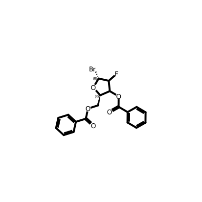 O=C(OC[C@H]1O[C@H](Br)C(F)C1OC(=O)c1ccccc1)c1ccccc1